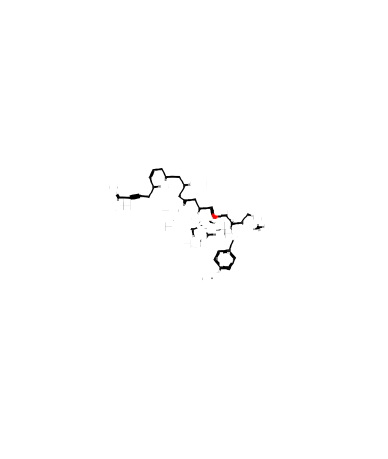 C=C(CC(C)CC1CC=CC(CC#CC(=O)O)O1)CC(C=CCC(OCc1ccc(OC)cc1)C1COC(C)(C)O1)O[Si](C(C)C)(C(C)C)C(C)C